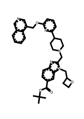 CC(C)(C)OC(=O)c1ccc2nc(CN3CCC(c4cccc(OCc5cncc6ccccc56)n4)CC3)n(CC3CCO3)c2c1